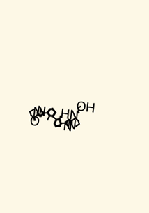 Cc1c(-c2cc3n(n2)CCCC3=O)cccc1-c1cccc(-c2cc3n(n2)CCCC3NCCO)c1C